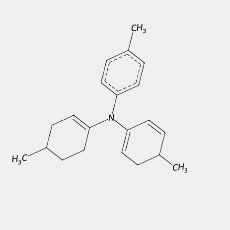 Cc1ccc(N(C2=CCC(C)C=C2)C2=CCC(C)CC2)cc1